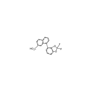 O=C(O)c1ccc2cccc(-c3cccc4c3OC(F)(F)O4)c2c1